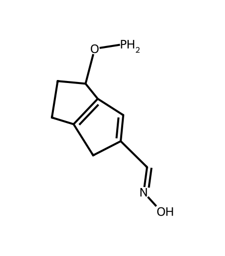 ON=CC1=CC2=C(CCC2OP)C1